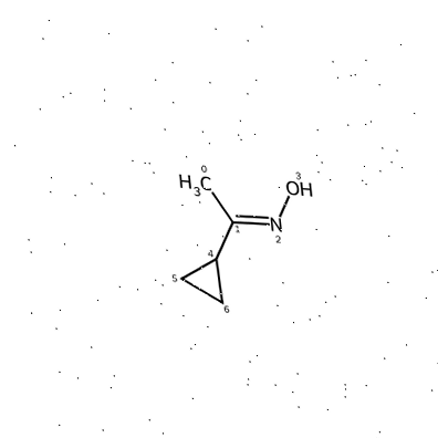 C/C(=N\O)C1CC1